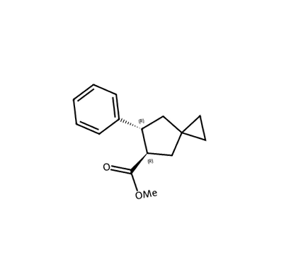 COC(=O)[C@@H]1CC2(CC2)C[C@H]1c1ccccc1